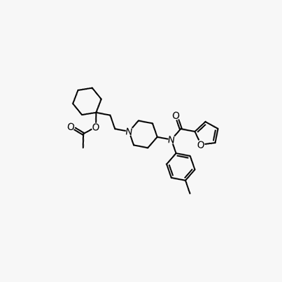 CC(=O)OC1(CCN2CCC(N(C(=O)c3ccco3)c3ccc(C)cc3)CC2)CCCCC1